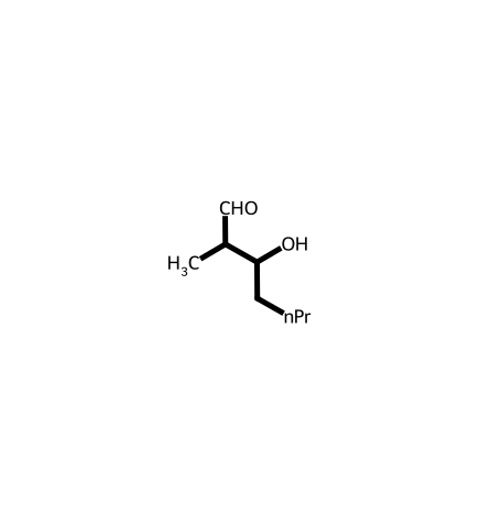 CCCCC(O)C(C)C=O